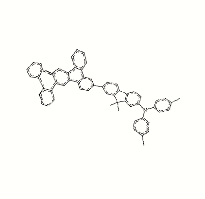 Cc1ccc(N(c2ccc(C)cc2)c2ccc3c(c2)C(C)(C)c2cc(-c4ccc5c(c4)c4ccccc4c4cc6c7ccccc7c7ccccc7c6cc54)ccc2-3)cc1